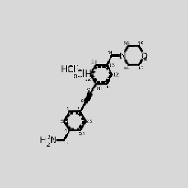 Cl.Cl.NCc1ccc(C#Cc2ccc(CN3CCOCC3)cc2)cc1